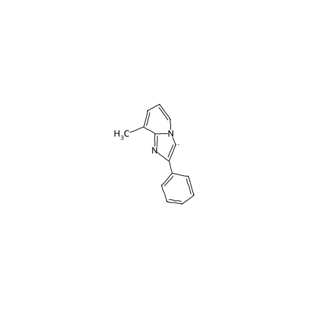 Cc1cccn2[c]c(-c3ccccc3)nc12